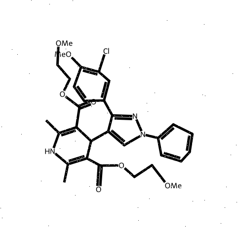 COCCOC(=O)C1=C(C)NC(C)=C(C(=O)OCCOC)C1c1cn(-c2ccccc2)nc1-c1ccc(OC)c(Cl)c1